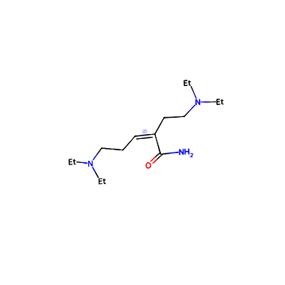 CCN(CC)CC/C=C(/CCN(CC)CC)C(N)=O